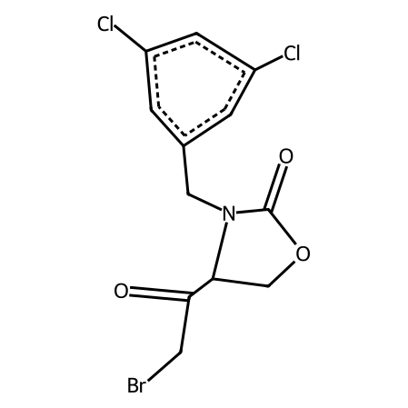 O=C(CBr)C1COC(=O)N1Cc1cc(Cl)cc(Cl)c1